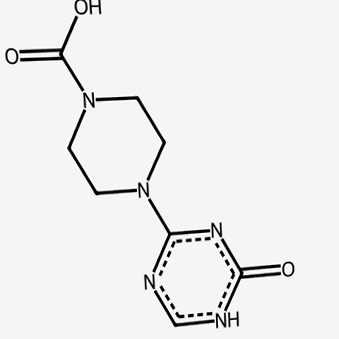 O=C(O)N1CCN(c2nc[nH]c(=O)n2)CC1